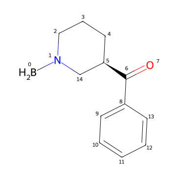 BN1CCC[C@@H](C(=O)c2ccccc2)C1